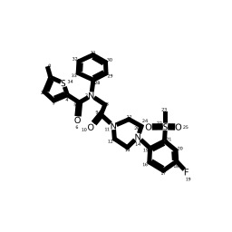 Cc1ccc(C(=O)N(CC(=O)N2CCN(c3ccc(F)cc3S(C)(=O)=O)CC2)c2ccccc2)s1